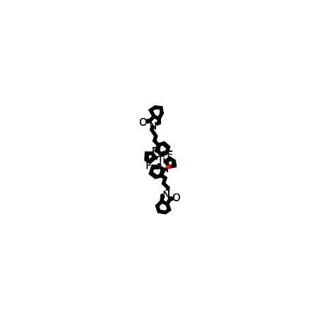 O=C1C2CCCCC2CN1CCCc1ccc(F)[c]([Ti]([C]2=CC=CC2)([C]2=CC=CC2)[c]2c(F)ccc(CCCN3CC4CCCCC4C3=O)c2F)c1F